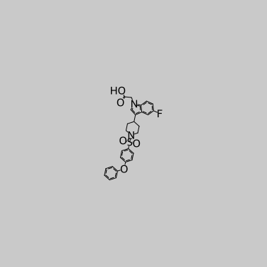 O=C(O)Cn1cc(C2CCN(S(=O)(=O)c3ccc(Oc4ccccc4)cc3)CC2)c2cc(F)ccc21